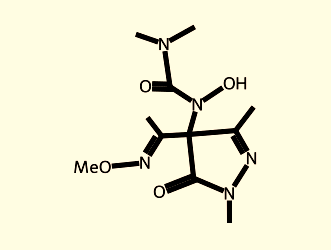 CON=C(C)C1(N(O)C(=O)N(C)C)C(=O)N(C)N=C1C